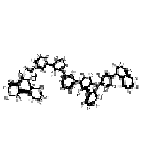 c1cc(-c2cccc(-c3ccc4c(c3)c3ccccc3n4-c3ccc(-c4cccc5ccccc45)cc3)c2)cc(-c2cccc(-c3cnc4c5ccccc5c5ccccc5c4n3)c2)c1